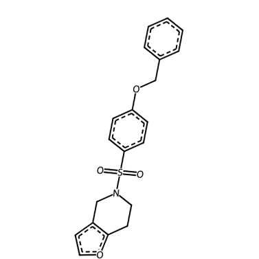 O=S(=O)(c1ccc(OCc2ccccc2)cc1)N1CCc2occc2C1